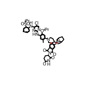 Cc1cc(Nc2ncc(Cl)c(Nc3ccccc3S(=O)(=O)C(C)C)n2)c(OC(C)C)cc1N1CCC(CN2C3CCC2CN(c2ccc4c(c2)C(=O)N(C2CCC(=O)NC2=O)C4=O)C3)CC1